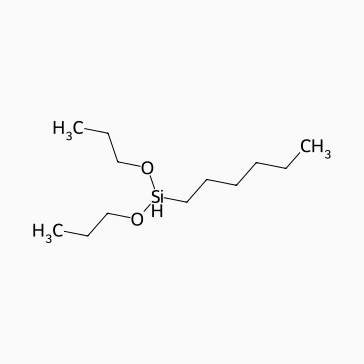 CCCCCC[SiH](OCCC)OCCC